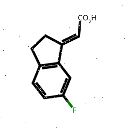 O=C(O)C=C1CCc2ccc(F)cc21